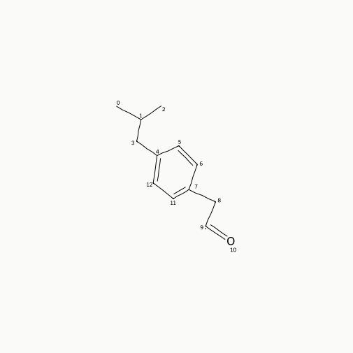 CC(C)Cc1ccc(C[C]=O)cc1